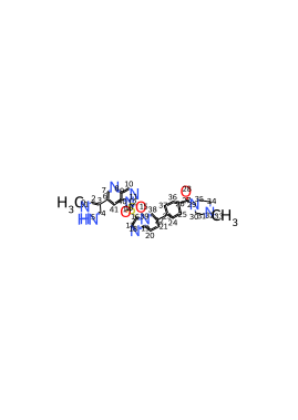 CN/C=C(\C=N)c1cnc2cnn(S(=O)(=O)c3cnc4ccc(-c5ccc(C(=O)N6CCN(C)CC6)cc5)cn34)c2c1